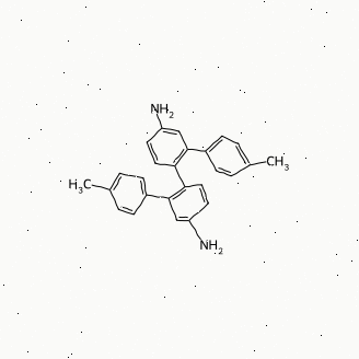 Cc1ccc(-c2cc(N)ccc2-c2ccc(N)cc2-c2ccc(C)cc2)cc1